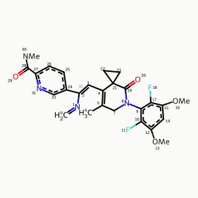 C=N/C(=C\C1=C(C)CN(c2c(F)c(OC)cc(OC)c2F)C(=O)C12CC2)c1ccc(C(=O)NC)nc1